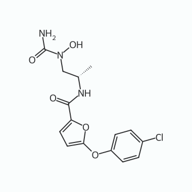 C[C@@H](CN(O)C(N)=O)NC(=O)c1ccc(Oc2ccc(Cl)cc2)o1